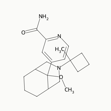 COC1(c2ccnc(C(N)=O)c2)C2CCCC1CN(C1(C)CCC1)C2